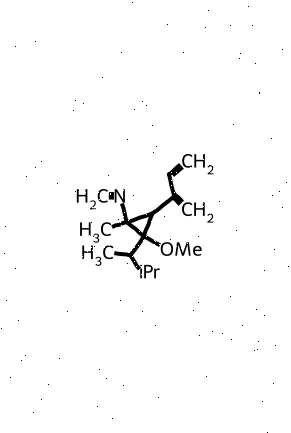 C=CC(=C)C1C(C)(N=C)C1(OC)C(C)C(C)C